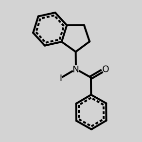 O=C(c1ccccc1)N(I)C1CCc2ccccc21